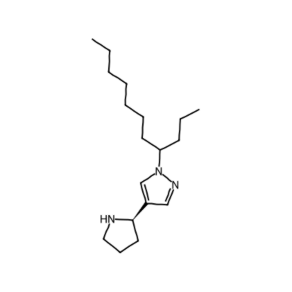 CCCCCCCC(CCC)n1cc([C@H]2CCCN2)cn1